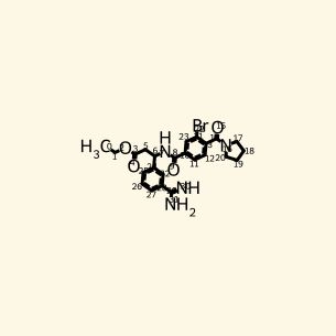 CCOC(=O)CC(NC(=O)c1ccc(C(=O)N2CCCC2)c(Br)c1)c1cccc(C(=N)N)c1